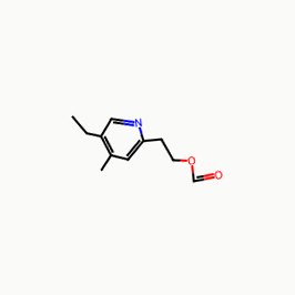 CCc1cnc(CCOC=O)cc1C